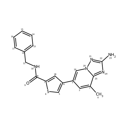 Cc1cc(-c2csc(C(=O)NCc3ccccc3)c2)cn2nc(N)nc12